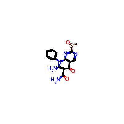 C[S+]([O-])c1ncc2c(=O)c(C(N)=O)c(N)n(-c3ccccc3)c2n1